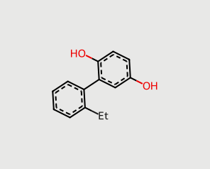 CCc1ccccc1-c1cc(O)ccc1O